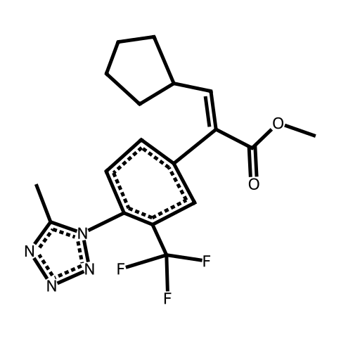 COC(=O)/C(=C/C1CCCC1)c1ccc(-n2nnnc2C)c(C(F)(F)F)c1